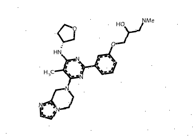 CNCC(O)COc1cccc(-c2nc(N[C@@H]3CCOC3)c(C)c(N3CCn4ccnc4C3)n2)c1